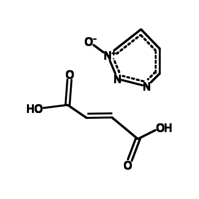 O=C(O)C=CC(=O)O.[O-][n+]1cccnn1